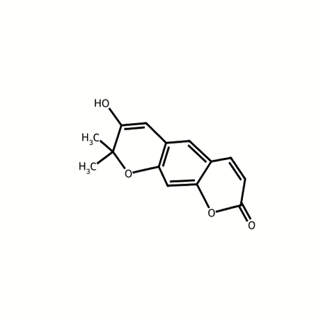 CC1(C)Oc2cc3oc(=O)ccc3cc2C=C1O